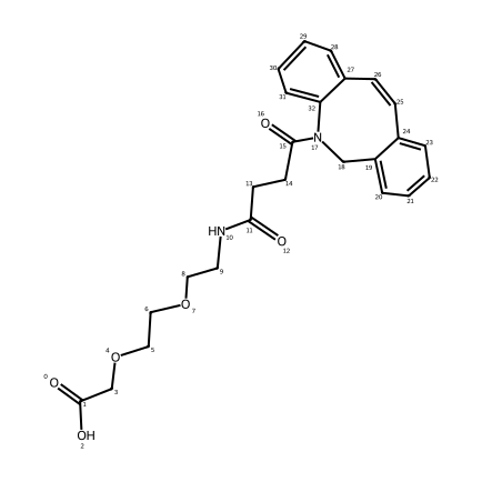 O=C(O)COCCOCCNC(=O)CCC(=O)N1Cc2ccccc2/C=C\c2ccccc21